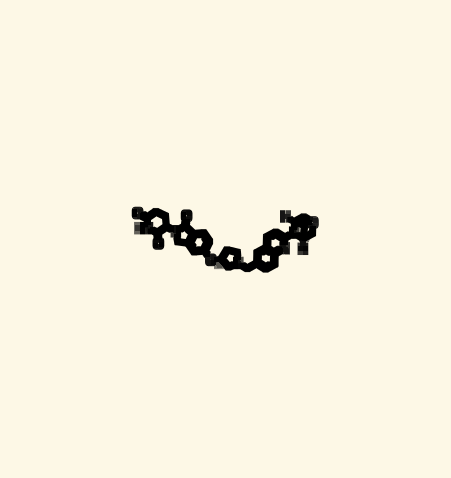 O=C1CCC(N2Cc3cc(O[C@H]4CCN(Cc5ccc6nc(N7[C@@H]8COC[C@H]7C8)ccc6c5)C4)ccc3C2=O)C(=O)N1